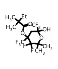 CCC(C)(C)C(=O)OC1(C(F)(F)F)CC(O)(C(F)(F)F)OC(C)(C)C1(F)F